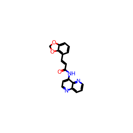 O=C(/C=C/c1cccc2c1OCO2)Nc1ccnc2cccnc12